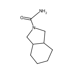 NC(=O)N1CC2CCCCC2C1